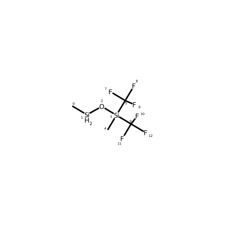 C[SiH2]O[Si](C)(C(F)(F)F)C(F)(F)F